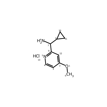 COc1ccnc(C(N)C2CC2)c1.Cl